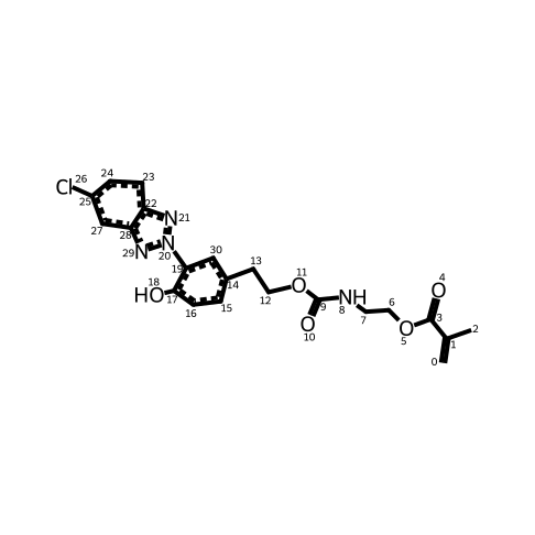 C=C(C)C(=O)OCCNC(=O)OCCc1ccc(O)c(-n2nc3ccc(Cl)cc3n2)c1